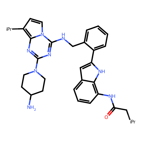 CC(C)CC(=O)Nc1cccc2cc(-c3ccccc3CNc3nc(N4CCC(N)CC4)nc4c(C(C)C)ccn34)[nH]c12